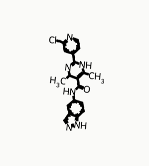 CC1=C(C(=O)Nc2ccc3[nH]ncc3c2)C(C)N=C(c2ccnc(Cl)c2)N1